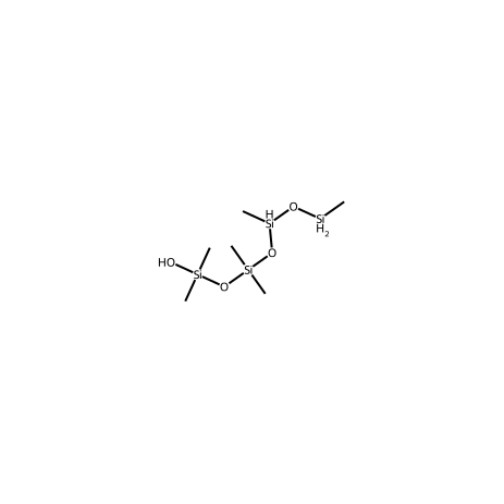 C[SiH2]O[SiH](C)O[Si](C)(C)O[Si](C)(C)O